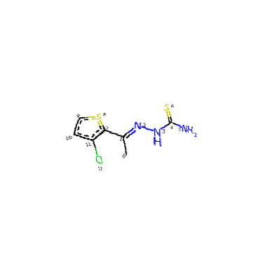 CC(=NNC(N)=S)c1sccc1Cl